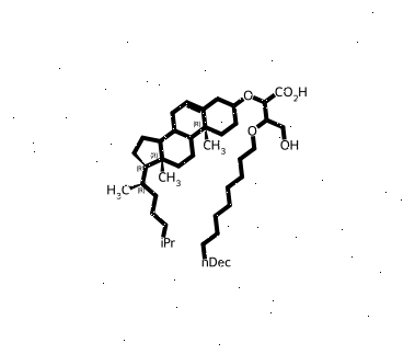 CCCCCCCCCCCCCCCCCCOC(CO)C(OC1CC[C@@]2(C)C(=CCC3C2CC[C@@]2(C)C3CC[C@@H]2[C@H](C)CCCC(C)C)C1)C(=O)O